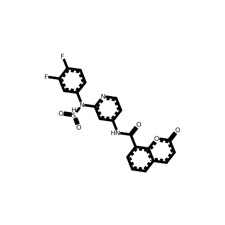 O=C(Nc1ccnc(N(c2ccc(F)c(F)c2)[SH](=O)=O)c1)c1cccc2ccc(=O)oc12